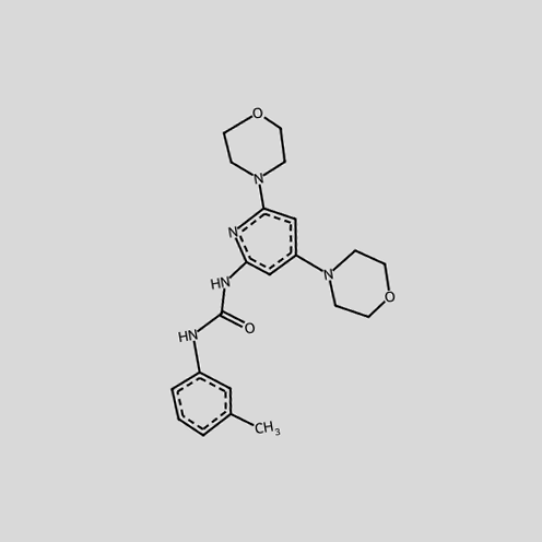 Cc1cccc(NC(=O)Nc2cc(N3CCOCC3)cc(N3CCOCC3)n2)c1